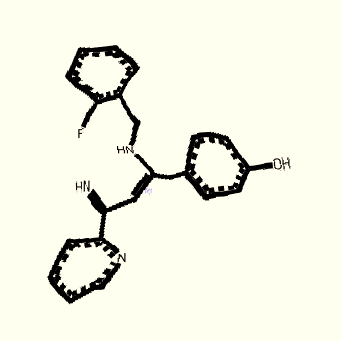 N=C(/C=C(\NCc1ccccc1F)c1ccc(O)cc1)c1ccccn1